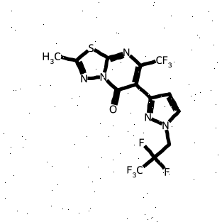 Cc1nn2c(=O)c(-c3ccn(CC(F)(F)C(F)(F)F)n3)c(C(F)(F)F)nc2s1